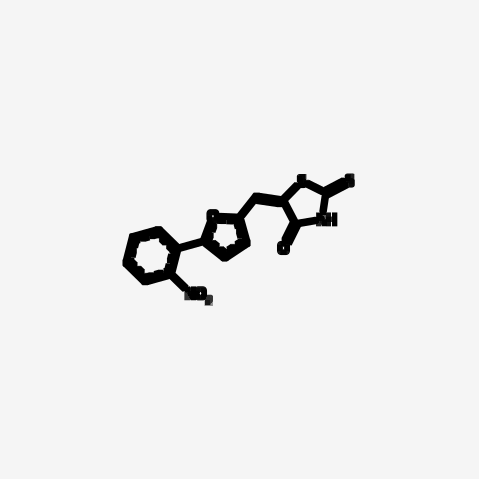 O=C1NC(=S)S/C1=C/c1ccc(-c2ccccc2[N+](=O)[O-])o1